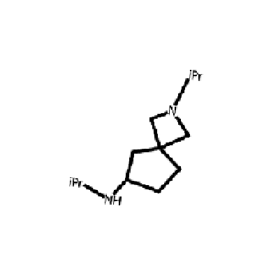 CC(C)NC1CCC2(C1)CN(C(C)C)C2